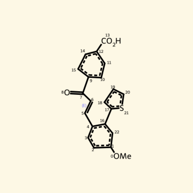 COc1ccc(/C=C/C(=O)c2ccc(C(=O)O)cc2)c(-c2cccs2)c1